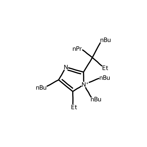 CCCCC1=C(CC)[N+](CCCC)(CCCC)C(C(CC)(CCC)CCCC)=N1